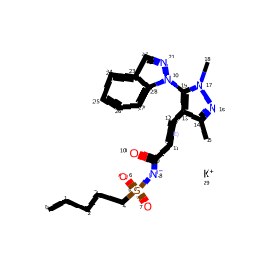 CCCCCS(=O)(=O)[N-]C(=O)/C=C/c1c(C)nn(C)c1-n1ncc2ccccc21.[K+]